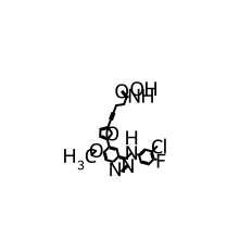 COc1cc2ncnc(Nc3ccc(F)c(Cl)c3)c2cc1-c1ccc(C#CCCC(=O)NO)o1